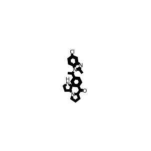 Cc1nc2cc(Cl)ccc2n1C(C)c1ccc(C(=O)C2CCCN2C2CCNC2)cc1